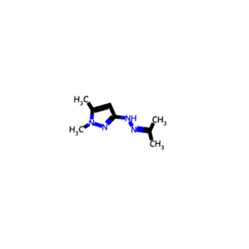 CC(C)=NNc1cc(C)n(C)n1